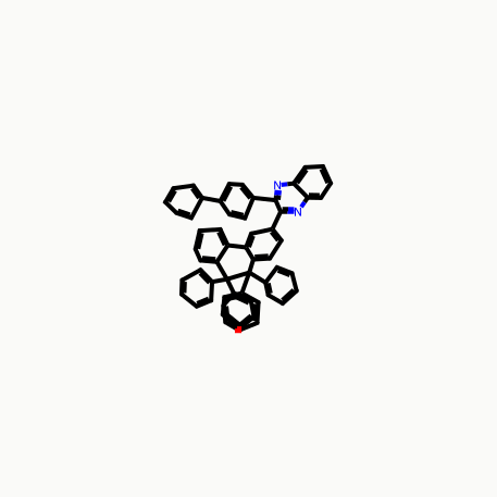 c1ccc(-c2ccc(-c3nc4ccccc4nc3-c3ccc4c(c3)-c3ccccc3C(c3ccccc3)(c3ccccc3)C4(c3ccccc3)c3ccccc3)cc2)cc1